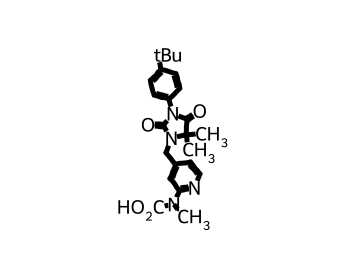 CN(C(=O)O)c1cc(CN2C(=O)N(c3ccc(C(C)(C)C)cc3)C(=O)C2(C)C)ccn1